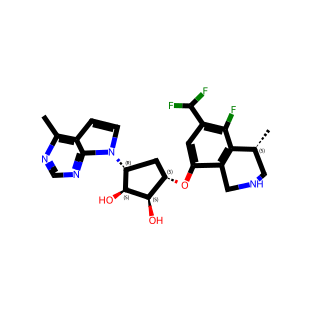 Cc1ncnc2c1ccn2[C@@H]1C[C@H](Oc2cc(C(F)F)c(F)c3c2CNC[C@H]3C)[C@@H](O)[C@H]1O